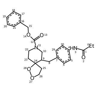 CCC(=O)Nc1ccc(CC2CN(C(=O)OCc3ccccc3)CCC23CCOO3)cc1